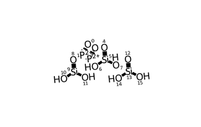 O=[P+2].O=[P+2].O=[Si](O)O.O=[Si](O)O.O=[Si](O)O